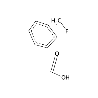 CF.O=CO.c1ccccc1